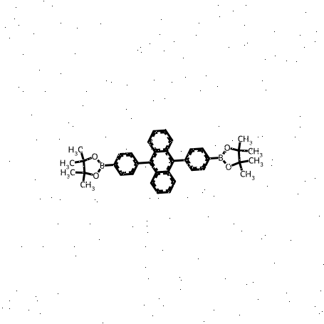 CC1(C)OB(c2ccc(-c3c4ccccc4c(-c4ccc(B5OC(C)(C)C(C)(C)O5)cc4)c4ccccc34)cc2)OC1(C)C